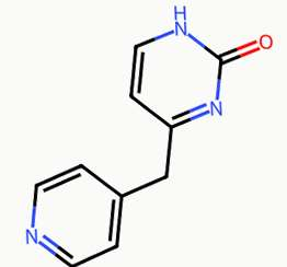 O=c1nc(Cc2ccncc2)cc[nH]1